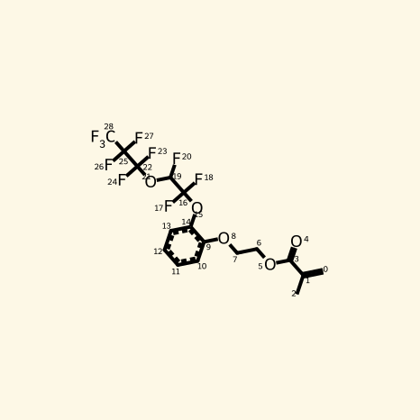 C=C(C)C(=O)OCCOc1ccccc1OC(F)(F)C(F)OC(F)(F)C(F)(F)C(F)(F)F